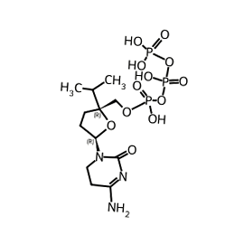 CC(C)[C@@]1(COP(=O)(O)OP(=O)(O)OP(=O)(O)O)CC[C@H](N2CCC(N)=NC2=O)O1